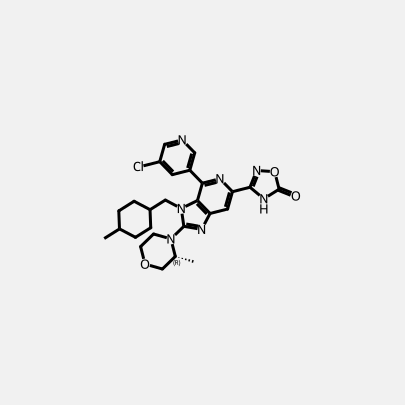 CC1CCC(Cn2c(N3CCOC[C@H]3C)nc3cc(-c4noc(=O)[nH]4)nc(-c4cncc(Cl)c4)c32)CC1